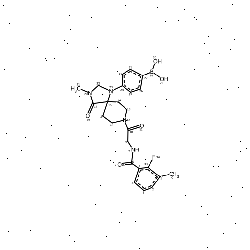 Cc1cccc(C(=O)NCC(=O)N2CCC3(CC2)C(=O)N(C)CN3c2ccc(B(O)O)cc2)c1F